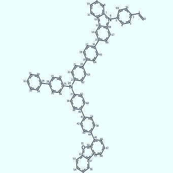 C=Cc1ccc(-n2c3ccccc3c3cc(-c4ccc(-c5ccc(N(c6ccc(-c7ccccc7)cc6)c6ccc(-c7ccc(-c8cccc9c8oc8ccccc89)cc7)cc6)cc5)cc4)ccc32)cc1